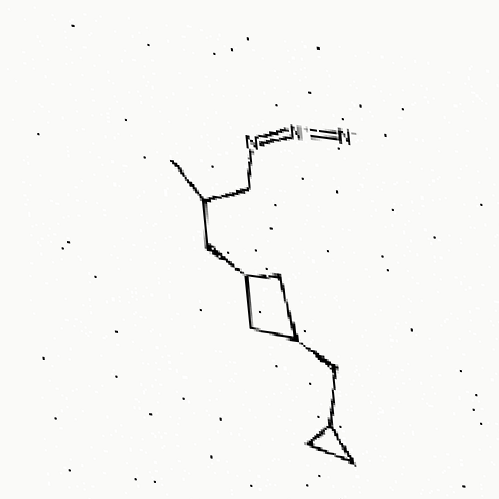 CC(CN=[N+]=[N-])C[C@H]1C[C@@H](CC2CC2)C1